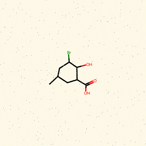 CC1CC(Br)C(O)C(C(=O)O)C1